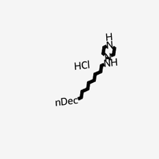 CCCCCCCCCCCCCCCCCCNN1CCNCC1.Cl